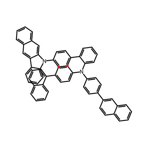 c1ccc(N(c2ccc(-c3ccc4ccccc4c3)cc2)c2ccc(-c3cccc4ccccc34)cc2)c(-c2ccc(-n3c4ccccc4c4cc5ccccc5cc43)cc2)c1